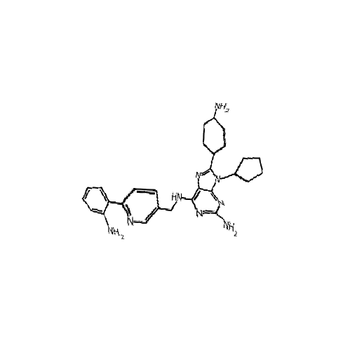 Nc1nc(NCc2ccc(-c3ccccc3N)nc2)c2nc(C3CCC(N)CC3)n(C3CCCC3)c2n1